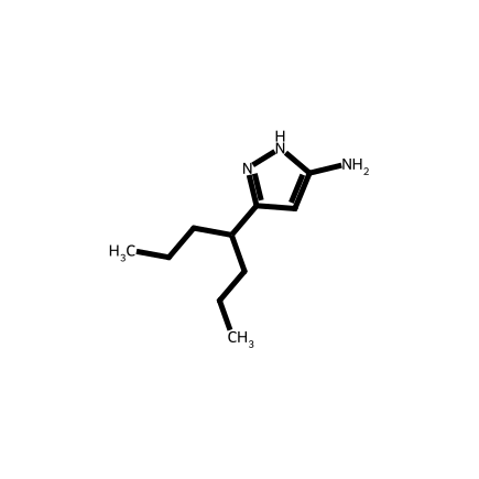 CCCC(CCC)c1cc(N)[nH]n1